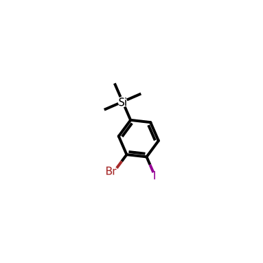 C[Si](C)(C)c1ccc(I)c(Br)c1